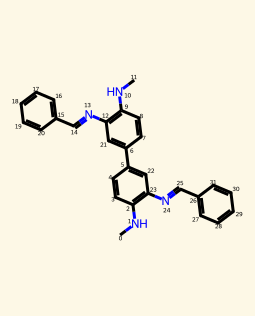 CNc1ccc(-c2ccc(NC)c(N=Cc3ccccc3)c2)cc1N=Cc1ccccc1